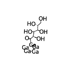 O=[C]([C@H](O)[C@@H](O)[C@H](O)[C@H](O)CO)[Ga]1[Ga]=[Ga][Ga]=[Ga]1